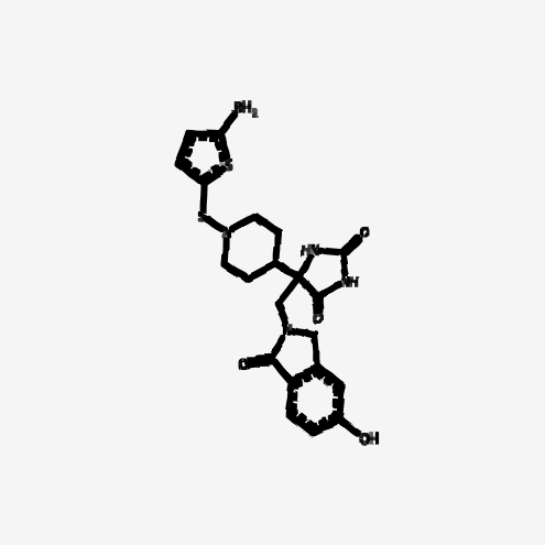 Bc1ccc(SN2CCC(C3(CN4Cc5cc(O)ccc5C4=O)NC(=O)NC3=O)CC2)s1